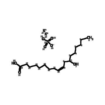 CCCCCCC(O)C/C=C\CCCCCCCC(=O)O.O=S(=O)([O-])[O-].[K+].[K+]